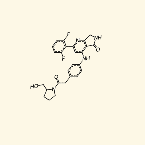 O=C1NCc2nc(-c3c(F)cccc3F)cc(Nc3ccc(CC(=O)N4CCCC4CO)cc3)c21